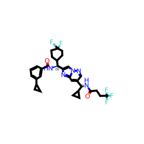 O=C(CCC(F)(F)F)N[C@@H](c1cnn2cc([C@@H](NC(=O)c3cccc(C4CC4)c3)C3CCC(F)(F)CC3)nc2c1)C1CC1